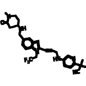 CN1CCC(NCc2ccc3c(c2)cc(C#CCNc2ccc(C(C)(C)C#N)nc2)n3CC(F)(F)F)CC1=O